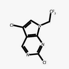 FC(F)(F)Cn1cc(Cl)c2cnc(Cl)nc21